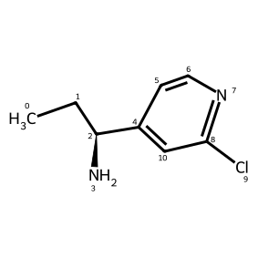 CC[C@H](N)c1ccnc(Cl)c1